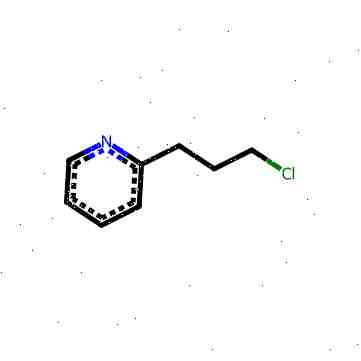 ClCCCc1ccccn1